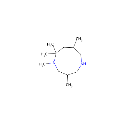 CC1CNCC(C)CC(C)(C)N(C)C1